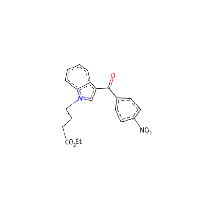 CCOC(=O)CCCn1cc(C(=O)c2ccc([N+](=O)[O-])cc2)c2ccccc21